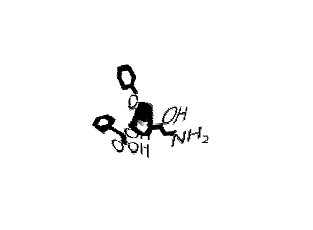 NCC[C@@H](O)c1cccc(OCC2CCCCC2)c1.O=C(O)C(O)c1ccccc1